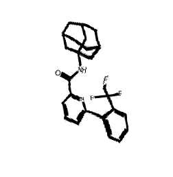 O=C(NC12CC3CC(CC(C3)C1)C2)c1cccc(-c2ccccc2C(F)(F)F)n1